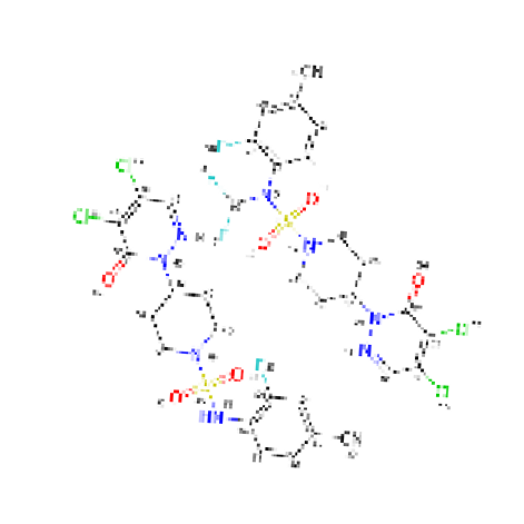 N#Cc1ccc(N(C(F)F)S(=O)(=O)N2CCC(n3ncc(Cl)c(Cl)c3=O)CC2)c(F)c1.N#Cc1ccc(NS(=O)(=O)N2CCC(n3ncc(Cl)c(Cl)c3=O)CC2)c(F)c1